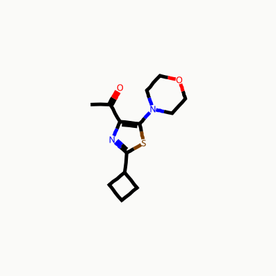 CC(=O)c1nc(C2CCC2)sc1N1CCOCC1